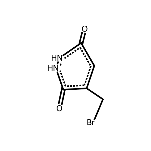 O=c1cc(CBr)c(=O)[nH][nH]1